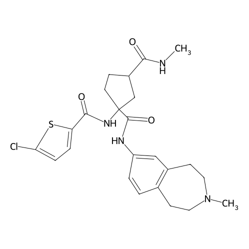 CNC(=O)C1CCC(NC(=O)c2ccc(Cl)s2)(C(=O)Nc2ccc3c(c2)CCN(C)CC3)C1